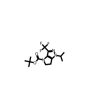 CC(C)n1nc(C(F)(F)F)c2c1CCN2C(=O)OC(C)(C)C